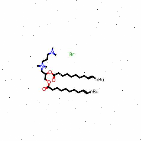 CCCCC=CCCCCCCCC(=O)OCC(C[N+](C)(C)CCCN(C)C)OC(=O)CCCCCCCC=CCCCC.[Br-]